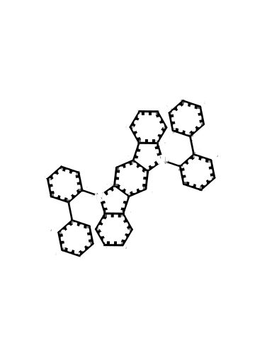 c1ccc(-c2ccccc2-n2c3ccccc3c3cc4c(cc32)c2ccccc2n4-c2ccccc2-c2ccccc2)cc1